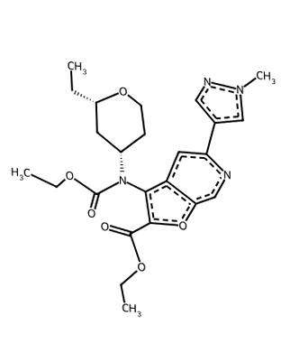 CCOC(=O)c1oc2cnc(-c3cnn(C)c3)cc2c1N(C(=O)OCC)[C@H]1CCO[C@@H](CC)C1